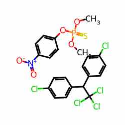 COP(=S)(OC)Oc1ccc([N+](=O)[O-])cc1.Clc1ccc(C(c2ccc(Cl)cc2)C(Cl)(Cl)Cl)cc1